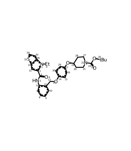 CCn1c(C(=O)Nc2ccccc2COc2ccc(OC3CCN(C(=O)OC(C)(C)C)CC3)cc2)cc2sccc21